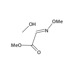 CO.CON=CC(=O)OC